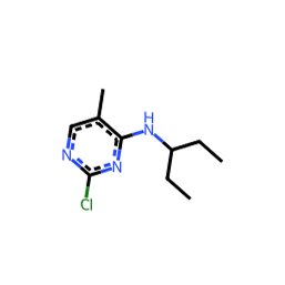 CCC(CC)Nc1nc(Cl)ncc1C